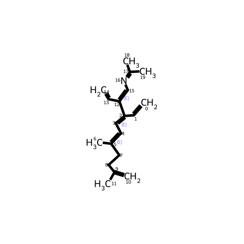 C=CC(=C\C=C(/C)CCC(=C)C)/C(C=C)=C/N=C(C)C